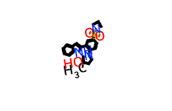 C[C@]1(O)CCN(c2ccc(S(=O)(=O)N3CCC3)cc2-c2cc3ccccc3[nH]2)C1